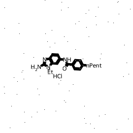 CCCCCc1ccc(C(=O)Nc2ccc3nc(N)n(CC)c3c2)cc1.Cl